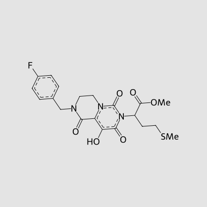 COC(=O)C(CCSC)n1c(=O)c(O)c2n(c1=O)CCN(Cc1ccc(F)cc1)C2=O